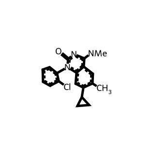 CNc1nc(=O)n(-c2ccccc2Cl)c2cc(C3CC3)c(C)cc12